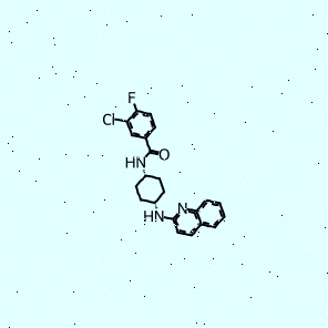 O=C(N[C@H]1CC[C@@H](Nc2ccc3ccccc3n2)CC1)c1ccc(F)c(Cl)c1